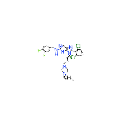 CN1CCN(CCCCn2c(-c3c(Cl)cccc3Cl)nc3cnc(NCc4ccc(F)c(F)c4)nc32)CC1